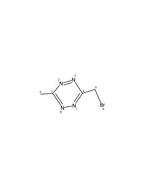 Cc1nnc(CBr)nn1